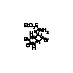 CCOC(=O)C(N)Cc1cc(Br)cc2[nH]c(=O)c(=O)[nH]c12